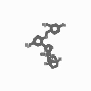 CC(=O)c1ccc(COc2ccc(C)cc2-c2csc(N3C[C@H]4CC[C@@H](C3)[C@H]4CC(=O)O)n2)c(C)c1